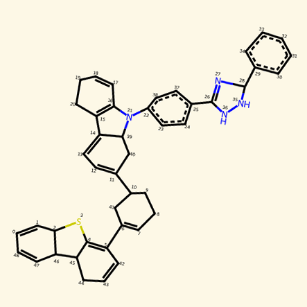 C1=CC2SC3=C(C4=CCCC(C5=CC=C6C7=C(C=CCC7)N(c7ccc(C8=NC(c9ccccc9)NN8)cc7)C6C5)C4)C=CCC3C2C=C1